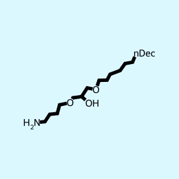 CCCCCCCCCCCCCCCCOCC(O)COCCCCN